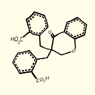 O=C(O)c1ccccc1CC1(Cc2ccccc2C(=O)O)COc2ccccc2C1=O